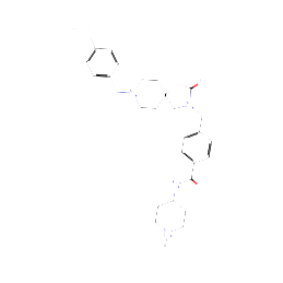 CC(=O)N1CCC(NC(=O)c2ccc(CN3CC4(CCN(Cc5ccc(C(F)(F)F)cc5)CC4)OC3=O)cc2)CC1